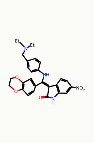 CCN(CC)Cc1ccc(NC(=C2C(=O)Nc3cc([N+](=O)[O-])ccc32)c2ccc3c(c2)OCCO3)cc1